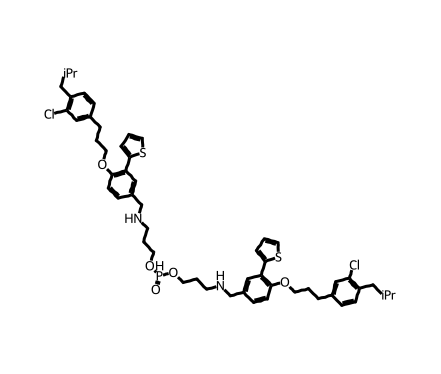 CC(C)Cc1ccc(CCCOc2ccc(CNCCCO[PH](=O)OCCCNCc3ccc(OCCCc4ccc(CC(C)C)c(Cl)c4)c(-c4cccs4)c3)cc2-c2cccs2)cc1Cl